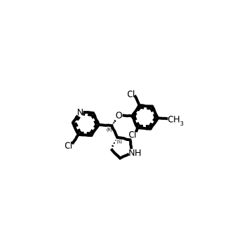 Cc1cc(Cl)c(O[C@@H](c2cncc(Cl)c2)[C@H]2CCNC2)c(Cl)c1